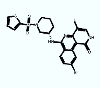 O=c1[nH]cc(I)c2nc(N[C@H]3CCCN(S(=O)(=O)c4cccs4)C3)c3ccc(Br)cc3c12